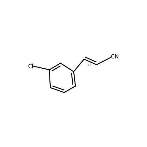 N#C/C=C/c1cccc(Cl)c1